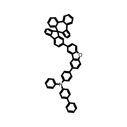 c1ccc(-c2ccc(N(c3ccccc3)c3ccc(-c4ccc5oc6ccc(-c7ccc8c(c7)C7(c9ccccc9-c9ccccc9-c9ccccc97)c7ccccc7-8)cc6c5c4)cc3)cc2)cc1